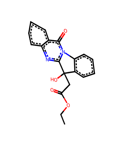 CCOC(=O)CC1(O)c2ccccc2-n2c1nc1ccccc1c2=O